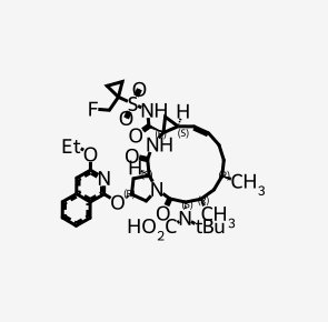 CCOc1cc2ccccc2c(O[C@@H]2C[C@H]3C(=O)N[C@]4(C(=O)NS(=O)(=O)C5(CF)CC5)C[C@H]4C=CCC[C@@H](C)C[C@@H](C)[C@H](N(C(=O)O)C(C)(C)C)C(=O)N3C2)n1